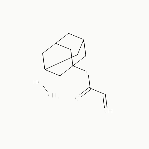 C=CC(=O)OC12CC3CC(CC(C3)C1)C2.CO